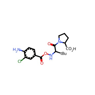 CC(C)(C)C(NOC(=O)c1ccc(N)c(Cl)c1)C(=O)N1CCCC1C(=O)O